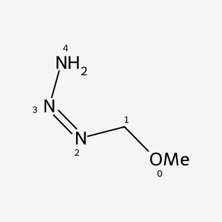 COC/N=N\N